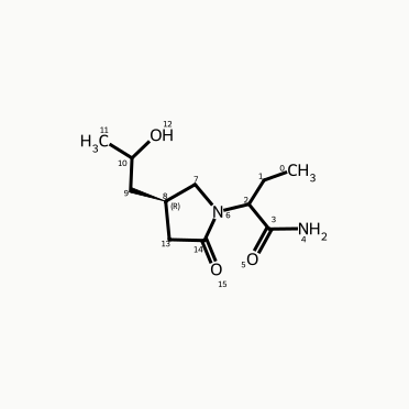 CCC(C(N)=O)N1C[C@H](CC(C)O)CC1=O